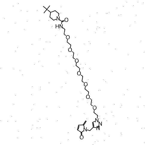 C=C1C=CC(=O)N1Cc1cn(CCOCCOCCOCCOCCOCCOCCOCCNC(=O)N2CCC(C(C)(C)C)CC2)nn1